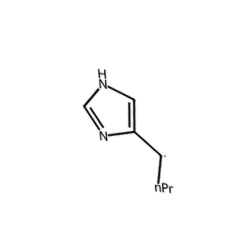 CCC[CH]c1c[nH]cn1